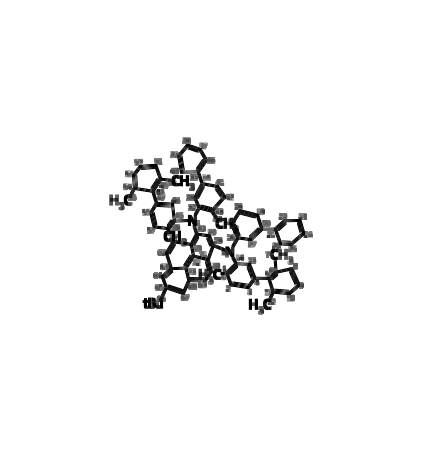 Cc1ccc(-c2c(C)cccc2C)cc1N(c1cccc(-c2ccccc2)c1)c1cc(N(c2cc(-c3ccccc3)ccc2C)c2cc(-c3c(C)cccc3C)ccc2C)c2ccc3cc(C(C)(C)C)cc4ccc1c2c43